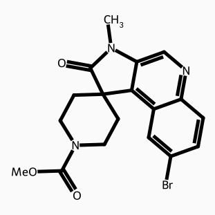 COC(=O)N1CCC2(CC1)C(=O)N(C)c1cnc3ccc(Br)cc3c12